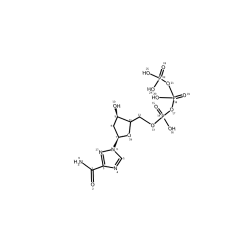 NC(=O)c1ncn([C@H]2C[C@@H](O)C(COP(=O)(O)OP(=O)(O)OP(=O)(O)O)O2)n1